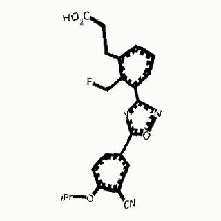 CC(C)Oc1ccc(-c2nc(-c3cccc(CCC(=O)O)c3CF)no2)cc1C#N